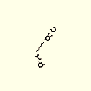 Cc1cccc2nc(-c3cnn(CCCCCCNc4ccc5c(c4)C(=O)N(C4CCC(=O)NC4=O)C5=O)c3)cnc12